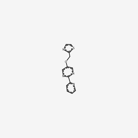 c1ccc(-c2ncc(OCc3nccs3)cn2)nc1